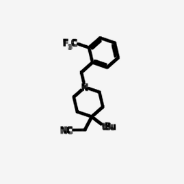 CC(C)(C)C1(CC#N)CCN(Cc2ccccc2C(F)(F)F)CC1